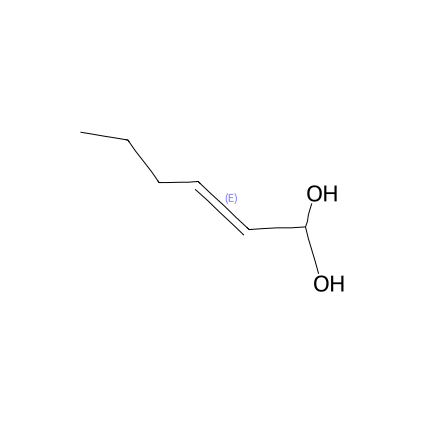 CCC/C=C/C(O)O